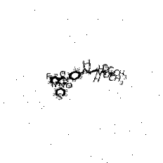 CC(C)(C)OC(=O)NCCN[C@H]1CC[C@@H](n2c(=O)c3cc(F)cnc3n(C3CCSCC3)c2=O)CC1